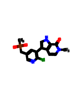 Cn1ccc2c(-c3cc(CS(C)(=O)=O)cnc3Cl)c[nH]c2c1=O